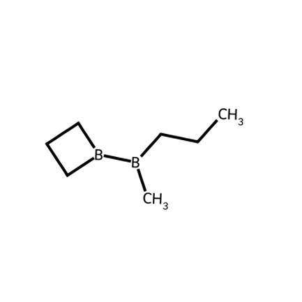 CCCB(C)B1CCC1